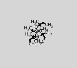 C=C[Si](OC(C)(C)CC)(OC(C)(C)CC)OC(C)(C)CC